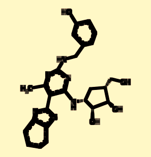 Cc1nc(NCc2cccc(O)c2)nc(N[C@@H]2C[C@H](CO)[C@@H](O)[C@H]2O)c1-c1nc2ccccc2s1